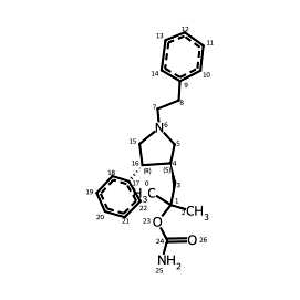 CC(C)(C[C@@H]1CN(CCc2ccccc2)C[C@H]1c1ccccc1)OC(N)=O